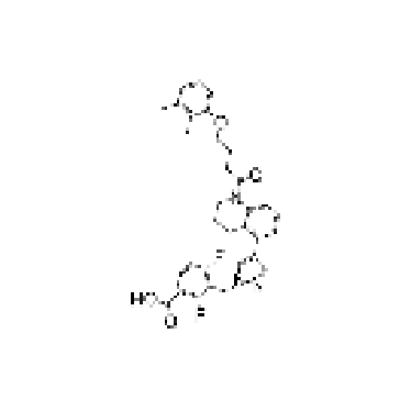 Cc1cccc(OCCCC(=O)N2CCCc3c(-c4cnn(Cc5c(F)ccc(C(=O)O)c5F)c4)cccc32)c1C